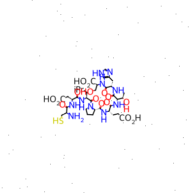 CC(C)C[C@H](NC(=O)[C@H](CC(=O)O)NC(=O)[C@@H](N)CS)C(=O)N1CCC[C@H]1C(=O)N[C@@H](CCC(=O)O)C(=O)N[C@H](C(=O)N[C@@H](Cc1c[nH]cn1)C(=O)N[C@@H](CO)C(=O)O)[C@@H](C)O